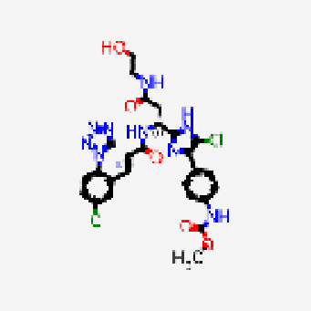 COC(=O)Nc1ccc(-c2nc([C@H](CC(=O)NCCO)NC(=O)/C=C/c3cc(Cl)ccc3-n3cnnn3)[nH]c2Cl)cc1